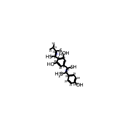 B/C(=C(/S)c1cc(O)c(/C(S)=C(\S)C(C)C)c(O)c1)c1ccc(O)cc1